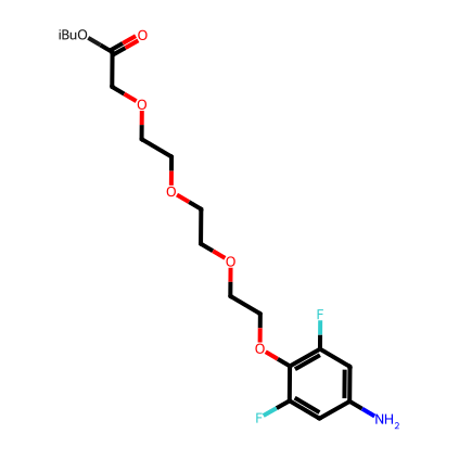 CC(C)COC(=O)COCCOCCOCCOc1c(F)cc(N)cc1F